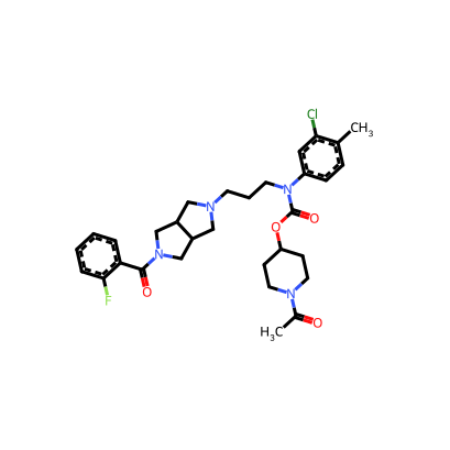 CC(=O)N1CCC(OC(=O)N(CCCN2CC3CN(C(=O)c4ccccc4F)CC3C2)c2ccc(C)c(Cl)c2)CC1